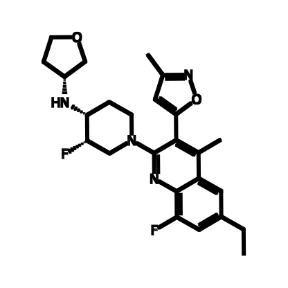 CCc1cc(F)c2nc(N3CC[C@@H](N[C@@H]4CCOC4)[C@@H](F)C3)c(-c3cc(C)no3)c(C)c2c1